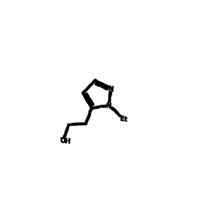 CCn1nccc1CCO